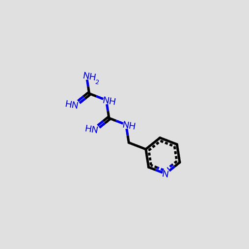 N=C(N)NC(=N)NCc1cccnc1